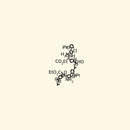 CCOC(=O)CC(C(=O)Nc1cc(Cl)c(-c2ccccc2OC(C)C)cc1N)c1ccc([SH](=O)(C=O)CC2CC2c2ccc(-c3cc(NC(=O)C(CC(=O)OCC)c4ccc(S(=O)(=O)CC5CC5)cc4)c(N)cc3Cl)c(OC(C)C)c2)cc1